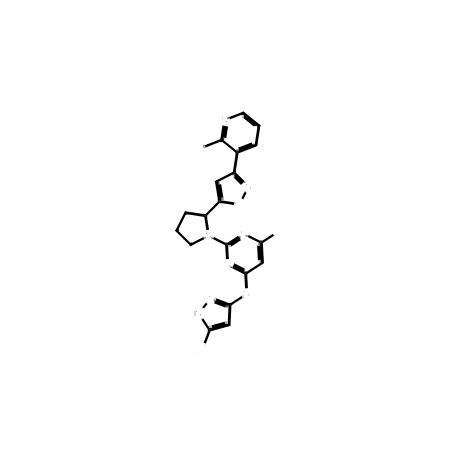 Cc1cc(Nc2cc(C)[nH]n2)nc(N2CCCC2c2cc(-c3cccnc3Cl)no2)n1